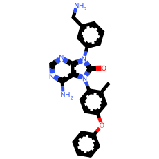 Cc1cc(Oc2ccccc2)ccc1-n1c(=O)n(-c2c[c]cc(CN)c2)c2ncnc(N)c21